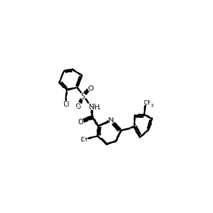 CCC1=C(C(=O)NS(=O)(=O)c2ccccc2Cl)N=C(c2cccc(C(F)(F)F)c2)CC1